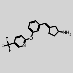 NC1CC/C(=C\c2cccc(Oc3ccc(C(F)(F)F)cn3)c2)C1